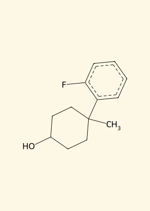 CC1(c2ccccc2F)CCC(O)CC1